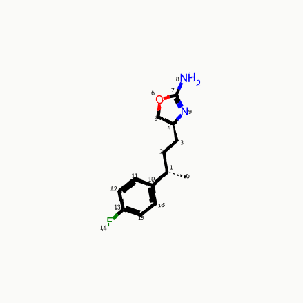 C[C@@H](CC[C@H]1COC(N)=N1)c1ccc(F)cc1